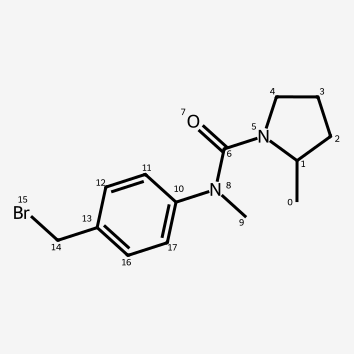 CC1CCCN1C(=O)N(C)c1ccc(CBr)cc1